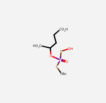 CCCCSP(=O)(OC(CCC(=O)O)C(=O)O)SO